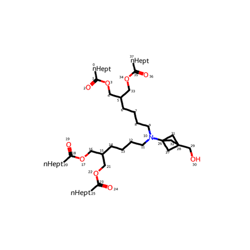 CCCCCCCC(=O)OCC(CCCCN(CCCCC(COC(=O)CCCCCCC)COC(=O)CCCCCCC)C12CC(CO)(C1)C2)COC(=O)CCCCCCC